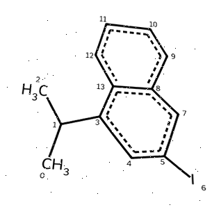 CC(C)c1cc(I)cc2ccccc12